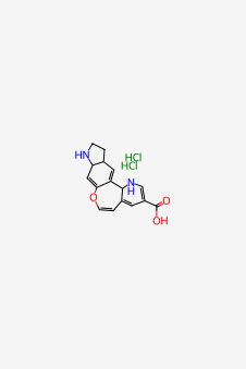 Cl.Cl.O=C(O)C1=CNC2C(=C1)C=COC1=CC3NCCC3C=C12